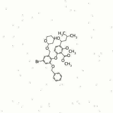 COC(=O)c1c(Oc2c(COC3CCCCO3)cc(Br)cc2OCc2ccccc2)ccc(C(O)CC(C)C)c1OC